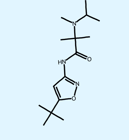 CC(C)N(C)C(C)(C)C(=O)Nc1cc(C(C)(C)C)on1